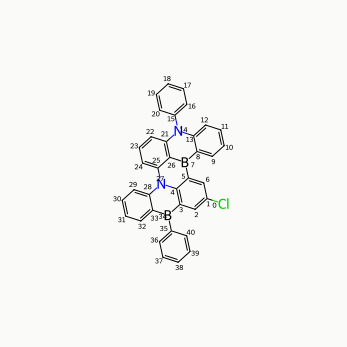 Clc1cc2c3c(c1)B1c4ccccc4N(c4ccccc4)c4cccc(c41)N3c1ccccc1B2c1ccccc1